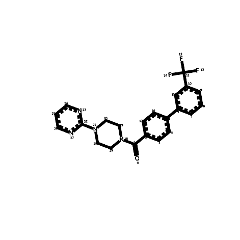 O=C(c1ccc(-c2cccc(C(F)(F)F)c2)cc1)N1CCN(c2ncccn2)CC1